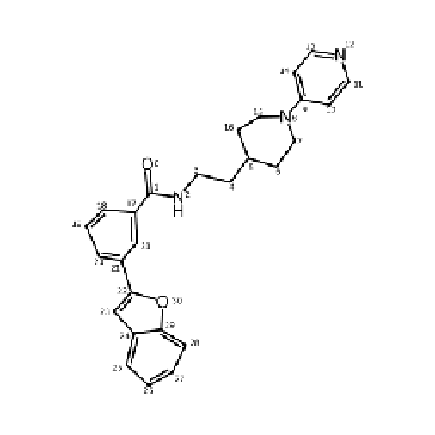 O=C(NCCC1CCN(c2ccncc2)CC1)c1cccc(-c2cc3ccccc3o2)c1